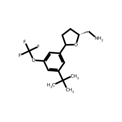 CC(C)(C)c1cc(OC(F)(F)F)cc(C2CC[C@H](CN)O2)c1